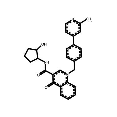 Cc1cc(-c2ccc(Cn3cc(C(=O)NC4CCCC4O)c(=O)c4ccccc43)cc2)ccn1